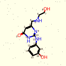 O=c1cc(CNCCO)nc(Nc2cccc(O)c2)[nH]1